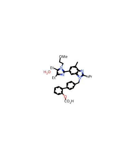 CCCc1nc2c(C)cc(-c3nc(CC)c(CC)n3CCOC)cc2n1Cc1ccc(-c2ccccc2OC(=O)O)cc1.O